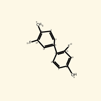 Cc1ccc(-c2ccc(O)cc2F)cc1F